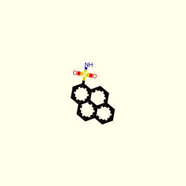 [NH]S(=O)(=O)c1ccc2ccc3cccc4ccc1c2c34